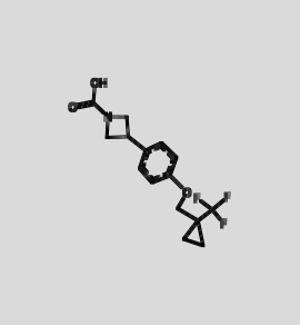 O=C(O)N1CC(c2ccc(OCC3(C(F)(F)F)CC3)cc2)C1